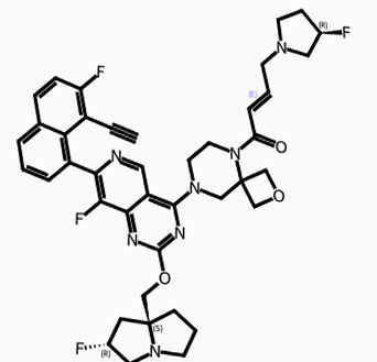 C#Cc1c(F)ccc2cccc(-c3ncc4c(N5CCN(C(=O)/C=C/CN6CC[C@@H](F)C6)C6(COC6)C5)nc(OC[C@@]56CCCN5C[C@H](F)C6)nc4c3F)c12